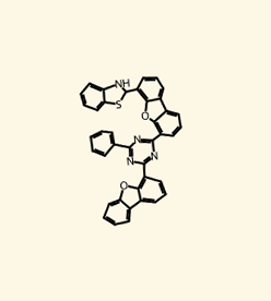 c1ccc(-c2nc(-c3cccc4c3oc3ccccc34)nc(-c3cccc4c3oc3c(C5Nc6ccccc6S5)cccc34)n2)cc1